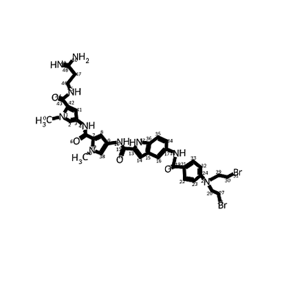 Cn1cc(NC(=O)c2cc(NC(=O)c3cc4cc(NC(=O)c5ccc(N(CCBr)CCBr)cc5)ccc4[nH]3)cn2C)cc1C(=O)NCCC(=N)N